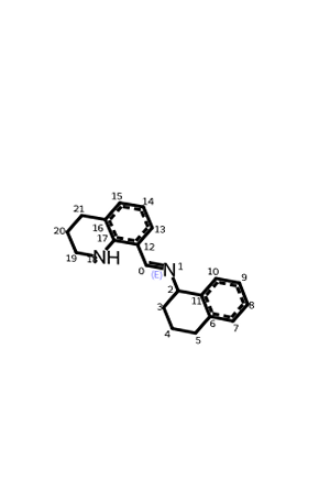 C(=N\C1CCCc2ccccc21)/c1cccc2c1NCCC2